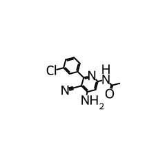 CC(=O)Nc1cc(N)c(C#N)c(-c2cccc(Cl)c2)n1